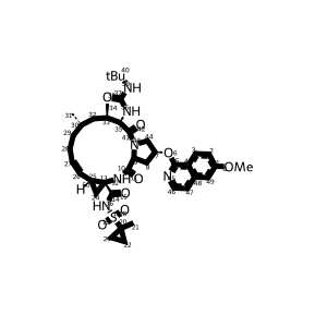 COc1ccc2c(O[C@@H]3CC4C(=O)N[C@]5(C(=O)NS(=O)(=O)C6(C)CC6)C[C@H]5/C=C\CC[C@H](C)C[C@@H](C)[C@H](NC(=O)NC(C)(C)C)C(=O)N4C3)nccc2c1